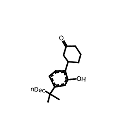 CCCCCCCCCCC(C)(C)c1ccc(C2CCCC(=O)C2)c(O)c1